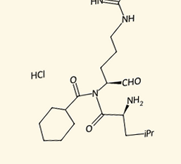 CC(C)C[C@H](N)C(=O)N(C(=O)C1CCCCC1)[C@H](C=O)CCCNC(=N)N.Cl